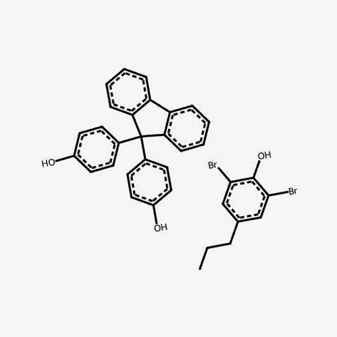 CCCc1cc(Br)c(O)c(Br)c1.Oc1ccc(C2(c3ccc(O)cc3)c3ccccc3-c3ccccc32)cc1